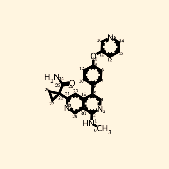 CNc1ncc(-c2ccc(Oc3cccnc3)cc2)c2cc(C3(C(N)=O)CC3)ncc12